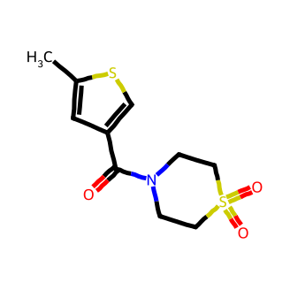 Cc1cc(C(=O)N2CCS(=O)(=O)CC2)cs1